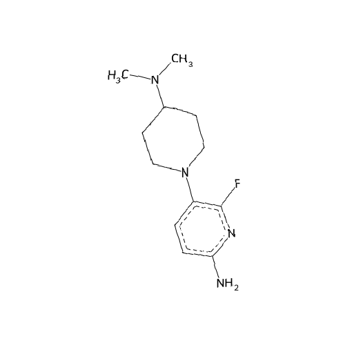 CN(C)C1CCN(c2ccc(N)nc2F)CC1